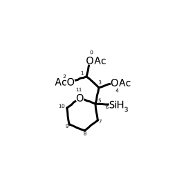 CC(=O)OC(OC(C)=O)C(OC(C)=O)C1([SiH3])CCCCO1